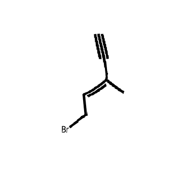 C#C/C(C)=C/CBr